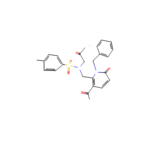 COC(=O)CN(Cc1c(C(=O)OC)ccc(=O)n1Cc1ccccc1)S(=O)(=O)c1ccc(C)cc1